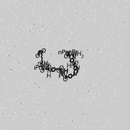 CCCN(CCC)C(=O)C1=Cc2ccc(C(=O)Nc3cnc4c(c3)CN(Cc3ccc(C(=O)NCC(F)(F)CNC(=O)OCc5ccc(NC(=O)CNC(=O)C(NC(=O)CCCCCN6C(=O)C=CC6=O)C(C)C)cc5)cc3)CC4)cc2N=C(N)C1